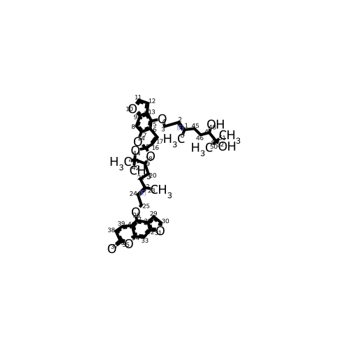 C/C(=C\COc1c2c(cc3occc13)OC1(C=C2)OC(CC/C(C)=C/COc2c3ccoc3cc3oc(=O)ccc23)C(C)(C)O1)CCC(O)C(C)(C)O